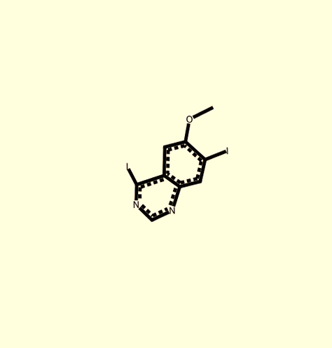 COc1cc2c(I)ncnc2cc1I